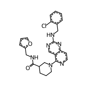 O=C(NCc1ccco1)C1CCCN(c2nccc3nc(NCc4ccccc4Cl)ncc23)C1